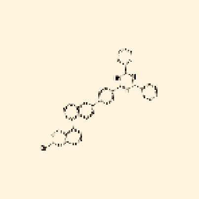 Brc1ccc2c(-c3cccc4cc(-c5ccc(C6=NC(c7ccccc7)=NC(c7ccccc7)N6)cc5)ccc34)cccc2c1